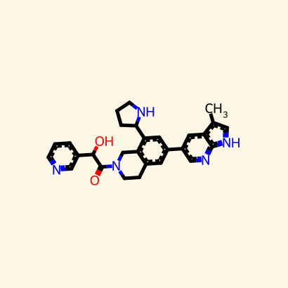 Cc1c[nH]c2ncc(-c3cc4c(c(C5CCCN5)c3)CN(C(=O)C(O)c3cccnc3)CC4)cc12